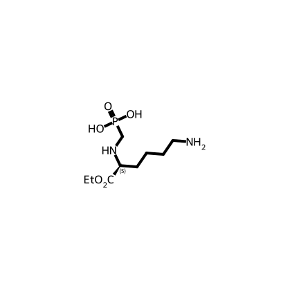 CCOC(=O)[C@H](CCCCN)NCP(=O)(O)O